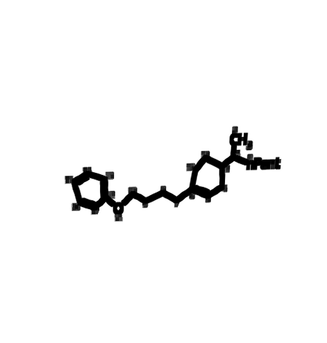 CCCCCC(C)C1CC=C(CCCCOc2ccccc2)CC1